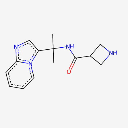 CC(C)(NC(=O)C1CNC1)c1cnc2ccccn12